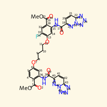 COC(=O)c1ccc(OCCCCOc2cc(NC(=O)c3ccc4nnnn4n3)c(C(=O)OC)cc2F)cc1NC(=O)c1ccc2nnnn2n1